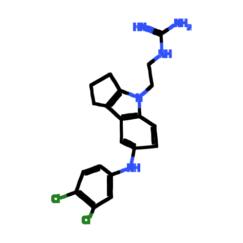 N=C(N)NCCn1c2c(c3cc(Nc4ccc(Cl)c(Cl)c4)ccc31)CCC2